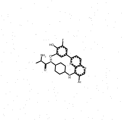 CC(=O)c1cnc2ccc(-c3cc(F)c(O)c(Cl)c3)nc2c1NC1CCC(NC(=O)C(C)N)CC1